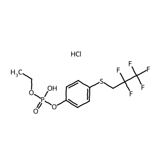 CCOP(=O)(O)Oc1ccc(SCC(F)(F)C(F)(F)F)cc1.Cl